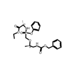 CCOC(=O)[C@H](C)NP(=O)(CO[C@H](C)CNC(=O)OCc1ccccc1)Oc1ccccc1